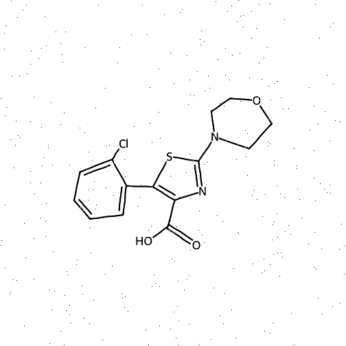 O=C(O)c1nc(N2CCOCC2)sc1-c1ccccc1Cl